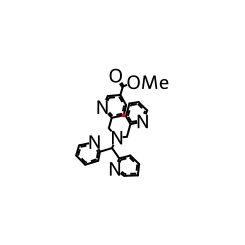 COC(=O)c1ccc(CN(Cc2ccccn2)C(c2ccccn2)c2ccccn2)nc1